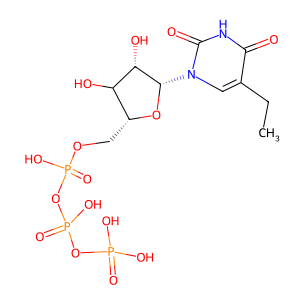 CCc1cn([C@@H]2O[C@H](COP(=O)(O)OP(=O)(O)OP(=O)(O)O)C(O)[C@@H]2O)c(=O)[nH]c1=O